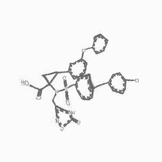 O=C(O)C1(N(Cc2noc(=O)[nH]2)S(=O)(=O)c2ccc(-c3ccc(Cl)cc3)cc2)CC1c1cccc(Oc2ccccc2)c1